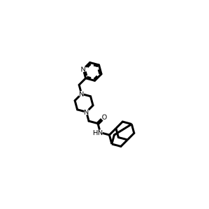 O=C(CN1CCN(Cc2ccccn2)CC1)NC1C2CC3CC(C2)CC1C3